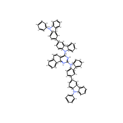 c1ccc(-n2c3ccccc3c3cc(-c4ccc5c(c4)c4ccccc4n5-c4nc(-n5c6ccccc6c6cc(-c7ccc8c(c7)c7ccccc7n8-c7ccccc7)ccc65)c5ccc6ccccc6c5n4)ccc32)cc1